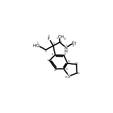 CCNC(C)C(F)(CO)c1ccc2c(c1)CCS2